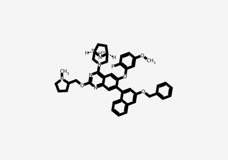 COc1ccc(F)c(Oc2cc3c(N4C[C@H]5CC[C@@H](C4)N5)nc(OCC4CCCN4C)nc3cc2-c2cc(OCc3ccccc3)cc3ccccc23)c1